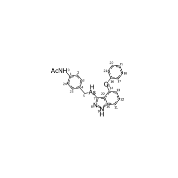 CC(=O)Nc1ccc(C[AsH]c2n[nH]c3cccc(Oc4ccccc4)c23)cc1